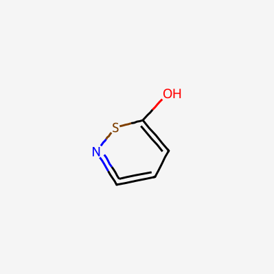 OC1=CC=C=NS1